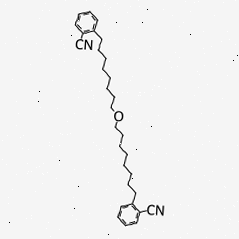 N#Cc1ccccc1CCCCCCCCOCCCCCCCCc1ccccc1C#N